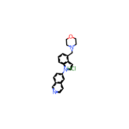 Cl.c1cc(CN2CCOCC2)c2ccn(-c3ccc4cnccc4c3)c2c1